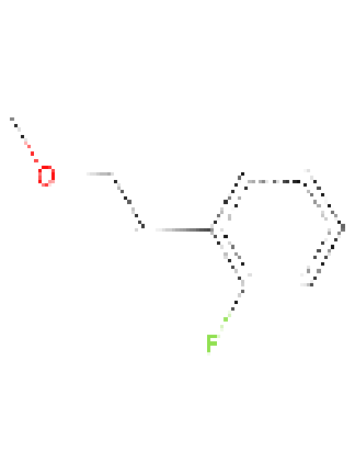 COC[CH]c1ccccc1F